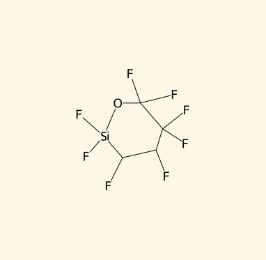 FC1C(F)[Si](F)(F)OC(F)(F)C1(F)F